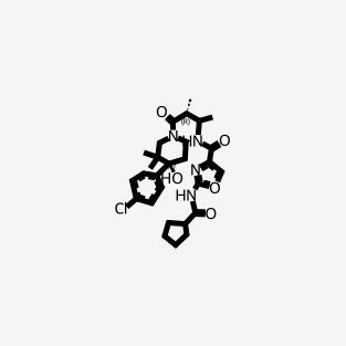 CC(NC(=O)c1coc(NC(=O)C2CCCC2)n1)[C@@H](C)C(=O)N1CC[C@](O)(c2ccc(Cl)cc2)C(C)(C)C1